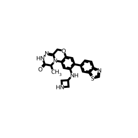 CC1C(=O)NN=C2COc3cc(-c4ccc5ncsc5c4)c(NC4CNC4)cc3N21